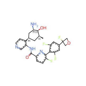 C[C@H]1C[C@@H](c2ccncc2NC(=O)c2ccc(F)c(-c3c(F)cc(C4(F)COC4)cc3F)n2)C[C@@H](N)[C@H]1O